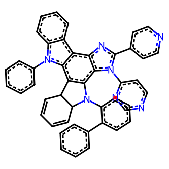 C1=CC2c3c(c4c(nc(-c5ccncc5)n4-c4ccncn4)c4c5ccccc5n(-c5ccccc5)c34)N(c3ccccc3-c3ccccc3)C2C=C1